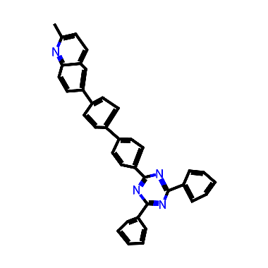 Cc1ccc2cc(-c3ccc(-c4ccc(-c5nc(-c6ccccc6)nc(-c6ccccc6)n5)cc4)cc3)ccc2n1